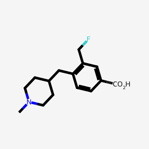 CN1CCC(Cc2ccc(C(=O)O)cc2CF)CC1